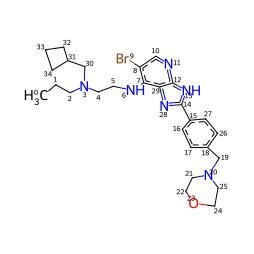 CCCN(CCNc1c(Br)cnc2[nH]c(-c3ccc(CN4CCOCC4)cc3)nc12)CC1CCC1